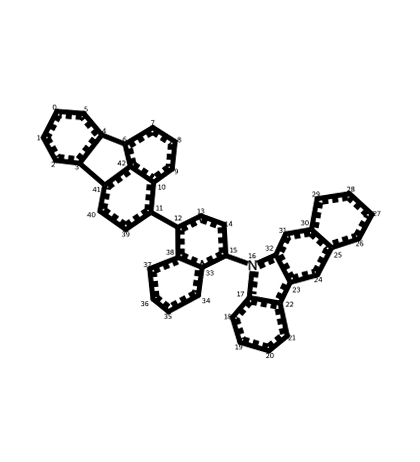 c1ccc2c(c1)-c1cccc3c(-c4ccc(-n5c6ccccc6c6cc7ccccc7cc65)c5ccccc45)ccc-2c13